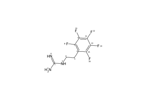 N=C(N)NCCc1c(F)c(F)c(F)c(F)c1F